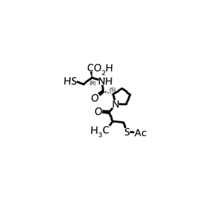 CC(=O)SCC(C)C(=O)N1CCC[C@H]1C(=O)N[C@@H](CS)C(=O)O